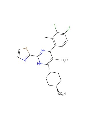 CCOC(=O)C1=C([C@H]2CC[C@H](C(=O)O)CC2)NC(c2nccs2)=NC1c1ccc(F)c(F)c1C